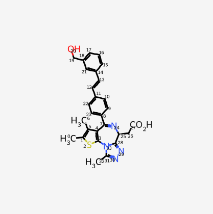 Cc1sc2c(c1C)C(c1ccc(/C=C/c3cccc(CO)c3)cc1)=N[C@@H](CC(=O)O)c1nnc(C)n1-2